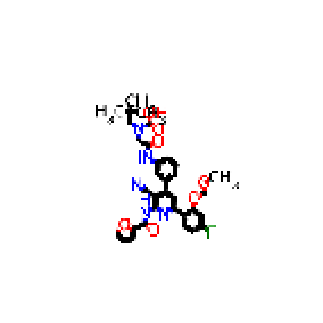 COCOc1cc(F)ccc1-c1cc(-c2cccc(NC(=O)CN(CC(C)(C)C)C(=O)O)c2)c(C#N)c(NC(=O)c2ccco2)n1